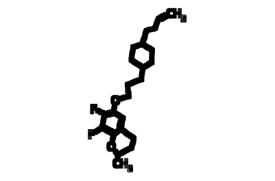 C=CCCC1CCC(CCCOc2cc3c(c(F)c2F)OC(C)CC3)CC1